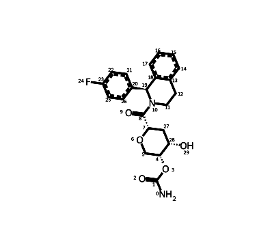 NC(=O)O[C@@H]1CO[C@H](C(=O)N2CCc3ccccc3[C@@H]2c2ccc(F)cc2)C[C@@H]1O